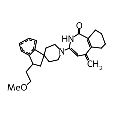 C=C1C=C(N2CCC3(CC2)CC(CCOC)c2ccccc23)NC(=O)C2=C1CCCC2